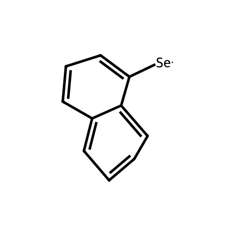 [Se]c1cccc2ccccc12